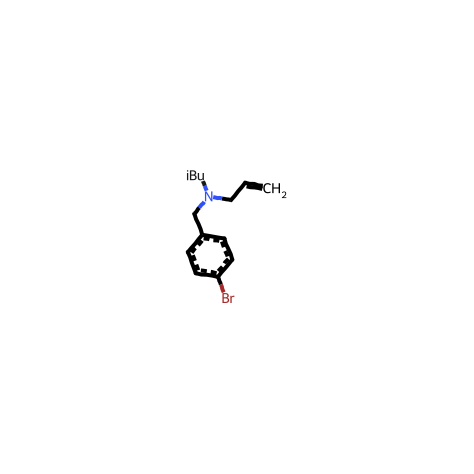 C=CCN(Cc1ccc(Br)cc1)C(C)CC